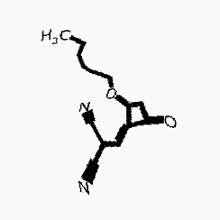 CCCCOC1CC(=O)C1=CC(C#N)C#N